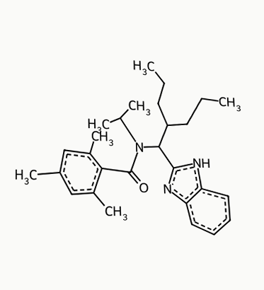 CCCC(CCC)C(c1nc2ccccc2[nH]1)N(C(=O)c1c(C)cc(C)cc1C)C(C)C